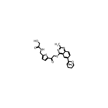 Cc1nc(SCC(=O)c2ccc(CNC(=O)CO)s2)c2cc(N3CC4CCC3CO4)ccc2n1